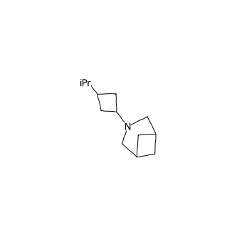 CC(C)C1CC(N2CC3CC(C3)C2)C1